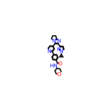 O=C(NC1CCOCC1)c1ccc(-c2cc(-c3c(-c4ccn(C5CC5)n4)nc4n3CCC4)ccn2)cc1